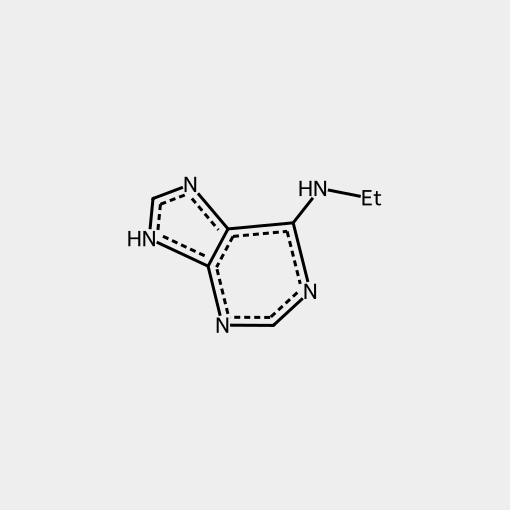 [CH2]CNc1ncnc2[nH]cnc12